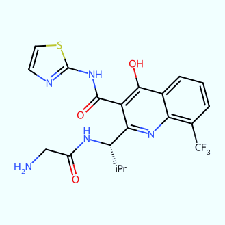 CC(C)[C@H](NC(=O)CN)c1nc2c(C(F)(F)F)cccc2c(O)c1C(=O)Nc1nccs1